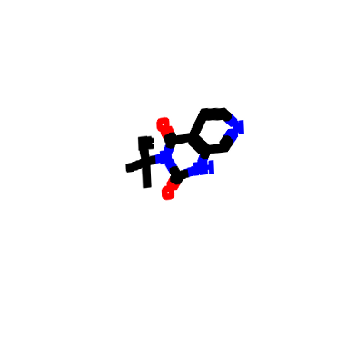 CCC(C)(C)n1c(=O)[nH]c2cnccc2c1=O